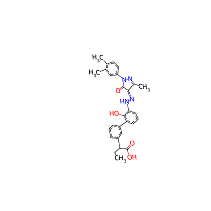 CCC(C(=O)O)c1cccc(-c2cccc(N/N=C3\C(=O)N(c4ccc(C)c(C)c4)N=C3C)c2O)c1